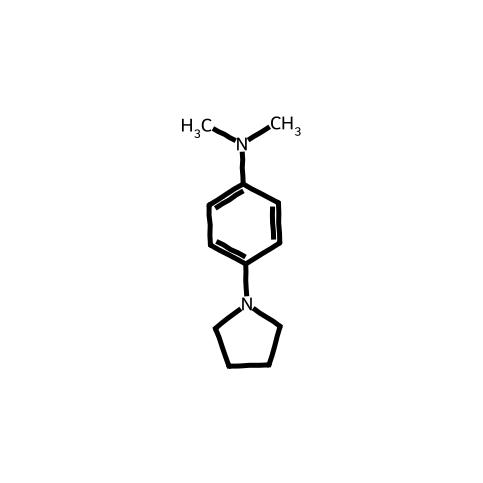 CN(C)c1ccc(N2CCCC2)cc1